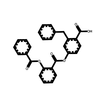 O=C(Oc1ccccc1C(=O)Oc1ccc(C(=O)O)c(Cc2ccccc2)c1)c1ccccc1